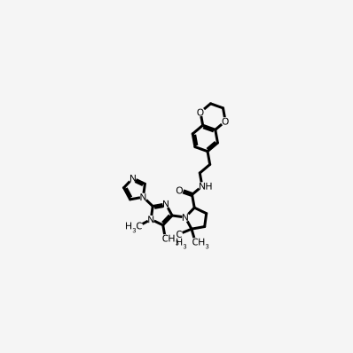 Cc1c(N2C(C(=O)NCCc3ccc4c(c3)OCCO4)CCC2(C)C)nc(-n2ccnc2)n1C